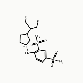 NS(=O)(=O)c1ccc(N[C@@H]2CCN(C(CF)CF)C2)c(S(=O)(=O)C(F)(F)F)c1